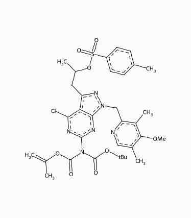 C=C(C)OC(=O)N(C(=O)OC(C)(C)C)c1nc(Cl)c2c(CC(C)OS(=O)(=O)c3ccc(C)cc3)nn(Cc3ncc(C)c(OC)c3C)c2n1